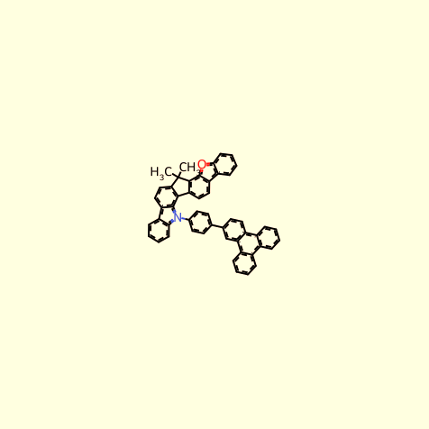 CC1(C)c2ccc3c4ccccc4n(-c4ccc(-c5ccc6c7ccccc7c7ccccc7c6c5)cc4)c3c2-c2ccc3c(oc4ccccc43)c21